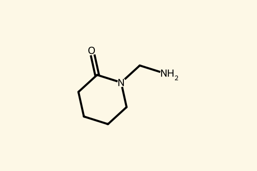 NCN1CCCCC1=O